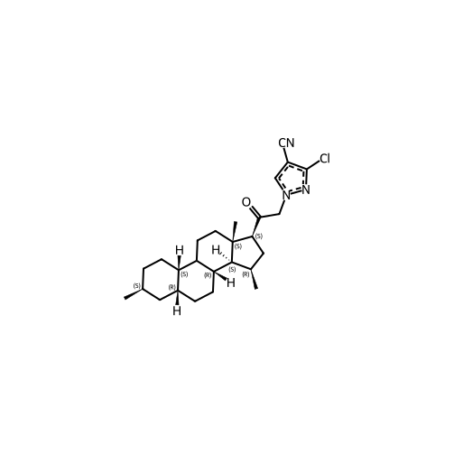 C[C@H]1CC[C@@H]2C3CC[C@@]4(C)[C@@H]([C@H](C)C[C@@H]4C(=O)Cn4cc(C#N)c(Cl)n4)[C@@H]3CC[C@@H]2C1